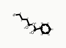 O=C(CCCF)OC(=O)c1ccccc1